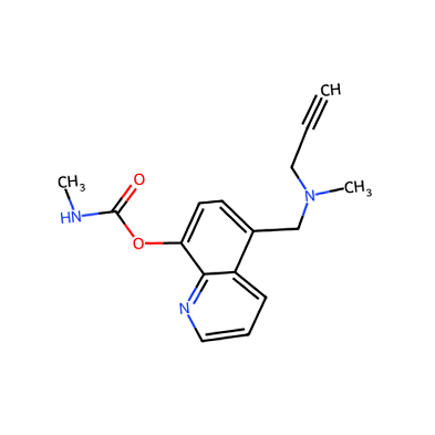 C#CCN(C)Cc1ccc(OC(=O)NC)c2ncccc12